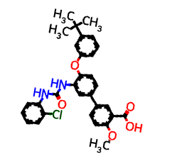 COc1ccc(-c2ccc(Oc3cccc(C(C)(C)C)c3)c(NC(=O)Nc3ccccc3Cl)c2)cc1C(=O)O